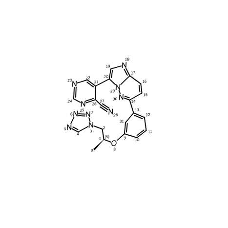 C[C@@H](Cn1cnnn1)Oc1cccc(-c2ccc3ncc(-c4cncnc4C#N)n3n2)c1